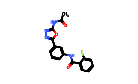 CC(=O)Nc1nnc(-c2cccc(NC(=O)c3ccccc3F)c2)o1